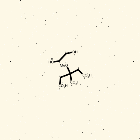 COC(CC(=O)O)(CC(=O)O)C(=O)O.OCCO